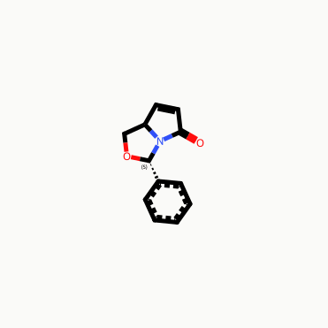 O=C1C=CC2CO[C@@H](c3ccccc3)N12